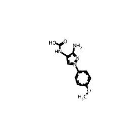 COc1ccc(-n2cc(NC(=O)O)c(N)n2)cc1